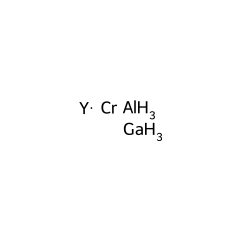 [AlH3].[Cr].[GaH3].[Y]